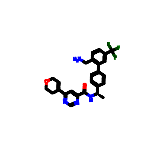 C[C@@H](NC(=O)c1cc(C2=CCOCC2)ncn1)c1ccc(-c2cc(C(F)(F)F)ccc2CN)cc1